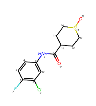 O=C(Nc1ccc(F)c(Cl)c1)C1CC[S+]([O-])CC1